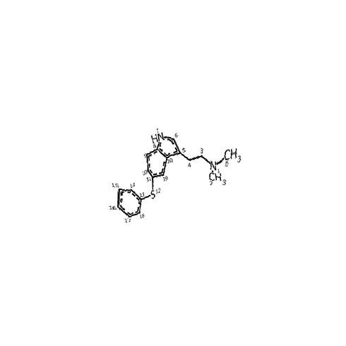 CN(C)CCc1c[nH]c2ccc(Sc3ccccc3)cc12